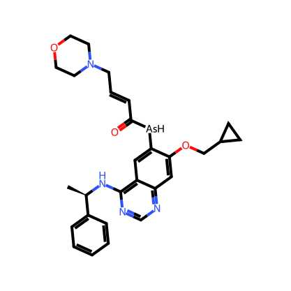 C[C@@H](Nc1ncnc2cc(OCC3CC3)c([AsH]C(=O)/C=C/CN3CCOCC3)cc12)c1ccccc1